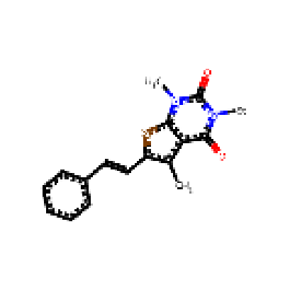 CCn1c(=O)c2c(C)c(/C=C/c3ccccc3)sc2n(C)c1=O